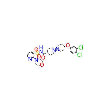 O=C(NS(=O)(=O)c1cccnc1N1CCOCC1)C1CCN(N2CCC(Oc3ccc(Cl)c(Cl)c3)CC2)CC1